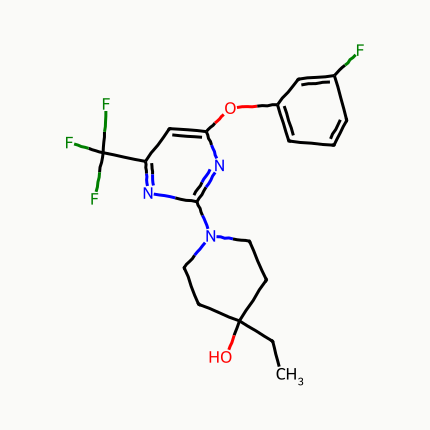 CCC1(O)CCN(c2nc(Oc3cccc(F)c3)cc(C(F)(F)F)n2)CC1